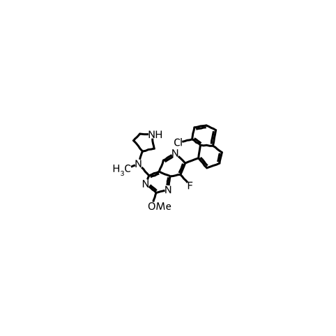 COc1nc(N(C)C2CCNC2)c2cnc(-c3cccc4cccc(Cl)c34)c(F)c2n1